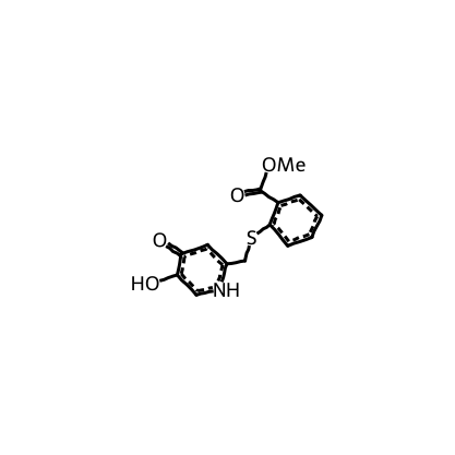 COC(=O)c1ccccc1SCc1cc(=O)c(O)c[nH]1